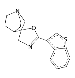 c1ccc2c(C3=NCC4(CN5CCC4CC5)O3)csc2c1